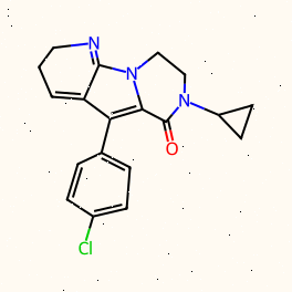 O=C1c2c(-c3ccc(Cl)cc3)c3c(n2CCN1C1CC1)=NCCC=3